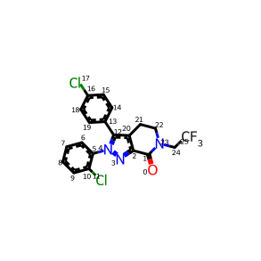 O=C1c2nn(-c3ccccc3Cl)c(-c3ccc(Cl)cc3)c2CCN1CC(F)(F)F